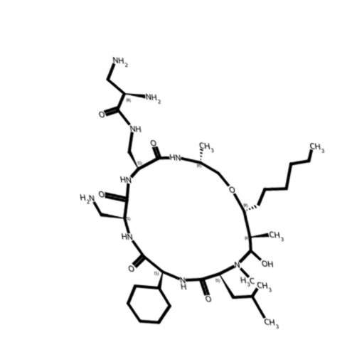 CCCCCC[C@H]1OC[C@@H](C)NC(=O)[C@H](CNC(=O)[C@H](N)CN)NC(=O)[C@H](CN)NC(=O)[C@H](C2CCCCC2)NC(=O)[C@H](CC(C)C)N(C)C(O)[C@@H]1C